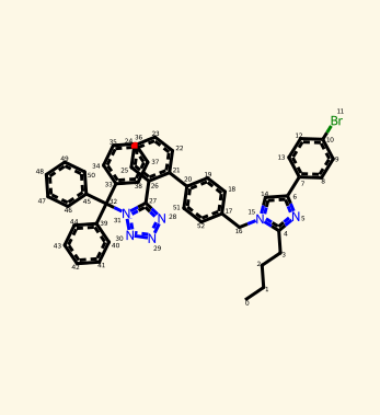 CCCCc1nc(-c2ccc(Br)cc2)cn1Cc1ccc(-c2ccccc2-c2nnnn2C(c2ccccc2)(c2ccccc2)c2ccccc2)cc1